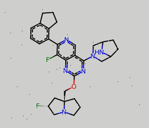 Fc1c(-c2cccc3c2CCC3)ncc2c(N3CC4CCC(C3)N4)nc(OC[C@@]34CCCN3C[C@H](F)C4)nc12